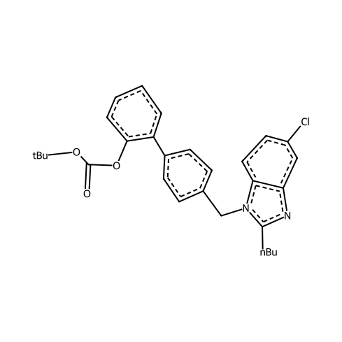 CCCCc1nc2cc(Cl)ccc2n1Cc1ccc(-c2ccccc2OC(=O)OC(C)(C)C)cc1